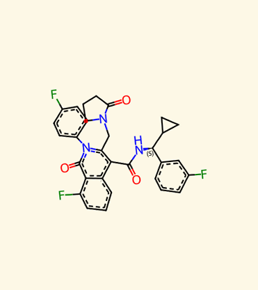 O=C(N[C@H](c1cccc(F)c1)C1CC1)c1c(CN2CCCC2=O)n(-c2ccc(F)cc2)c(=O)c2c(F)cccc12